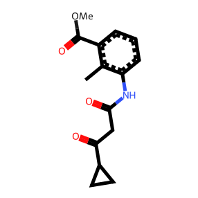 COC(=O)c1cccc(NC(=O)CC(=O)C2CC2)c1C